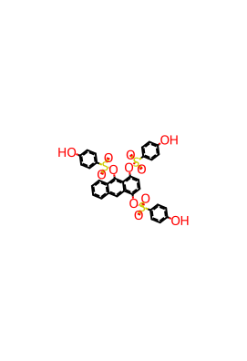 O=S(=O)(Oc1ccc(OS(=O)(=O)c2ccc(O)cc2)c2c(OS(=O)(=O)c3ccc(O)cc3)c3ccccc3cc12)c1ccc(O)cc1